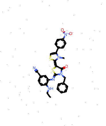 CCNc1ccc(C#N)cc1N=C1SC(=C2SC=C(c3ccc([N+](=O)[O-])cc3)N2C)C(=O)N1Cc1ccccc1